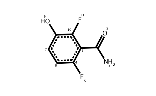 NC(=O)c1c(F)ccc(O)c1F